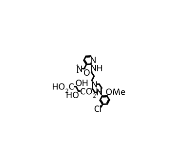 COc1ccc(Cl)cc1N1CCN(CCCNc2ncccc2C(=O)N(C)C)CC1.O=C(O)C(O)C(O)C(=O)O